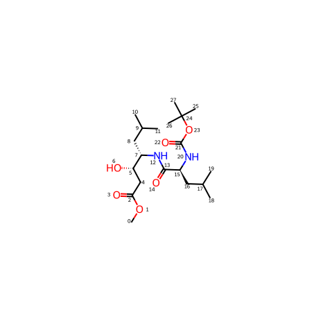 COC(=O)C[C@H](O)[C@H](CC(C)C)NC(=O)[C@H](CC(C)C)NC(=O)OC(C)(C)C